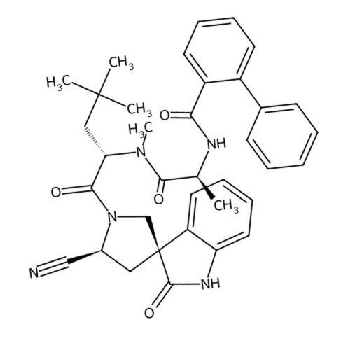 C[C@H](NC(=O)c1ccccc1-c1ccccc1)C(=O)N(C)[C@@H](CC(C)(C)C)C(=O)N1C[C@]2(C[C@H]1C#N)C(=O)Nc1ccccc12